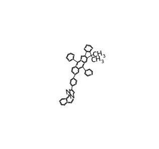 CC1(C)c2ccccc2-c2cc3c(-c4ccccc4)c4ccc(-c5ccc(-c6cn7ccc8ccccc8c7n6)cc5)cc4c(-c4ccccc4)c3cc21